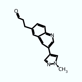 Cn1cc(-c2cnc3ccc(CCC=O)cc3c2)cn1